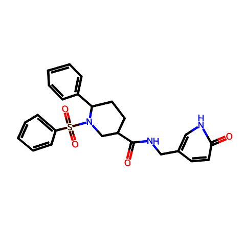 O=C(NCc1ccc(=O)[nH]c1)C1CCC(c2ccccc2)N(S(=O)(=O)c2ccccc2)C1